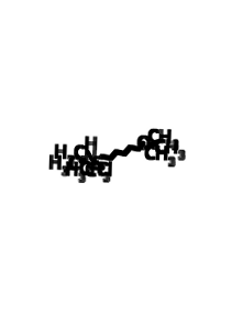 CC(C)(C)NS(C)(Cl)CCCCCCOC(C)(C)C